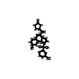 O=S(=O)(c1cccc(Cl)c1)n1ccc2c(NC3CCNC3)nc3ccc(Cl)cc3c21